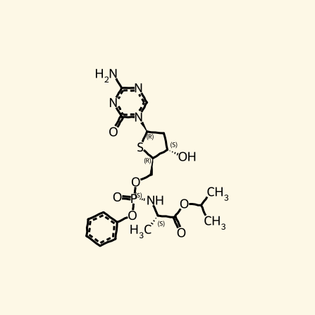 CC(C)OC(=O)[C@H](C)N[P@](=O)(OC[C@H]1S[C@@H](n2cnc(N)nc2=O)C[C@@H]1O)Oc1ccccc1